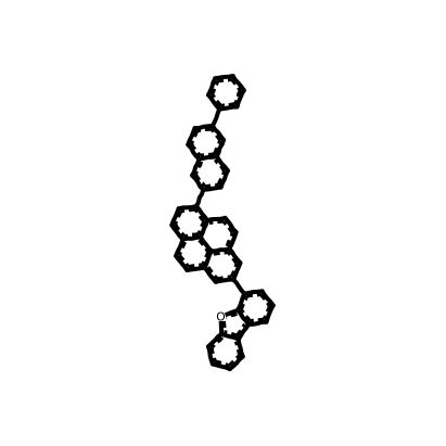 c1ccc(-c2ccc3cc(-c4ccc5ccc6cc(-c7cccc8c7oc7ccccc78)cc7ccc4c5c67)ccc3c2)cc1